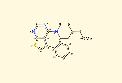 COCC1CCN(c2ncnc3scc(-c4ccccc4)c23)CC1